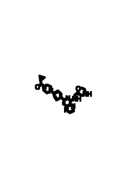 O=C(C1CC1)N1CCN(c2ccc(-c3cc4nccnc4c(NC[C@@H]4CNCCO4)n3)cc2)CC1